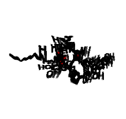 CCCCCCCCCCNCCN[C@@]1(C)C[C@H](O[C@H]2[C@H](Oc3c4cc5cc3Oc3ccc(cc3Cl)C(O)C3NC(=O)C(NC(=O)C5NC(=O)C(CC(N)=O)NC(=O)C(NC(=O)C(CC(C)C)NC)C(O)c5ccc(c(Cl)c5)O4)c4ccc(O)c(c4)-c4c(cc(O)c(CNCP(=O)(O)O)c4O)C(C(=O)O)NC3=O)O[C@H](CO)[C@@H](O)[C@@H]2O)O[C@@H](C)[C@H]1O